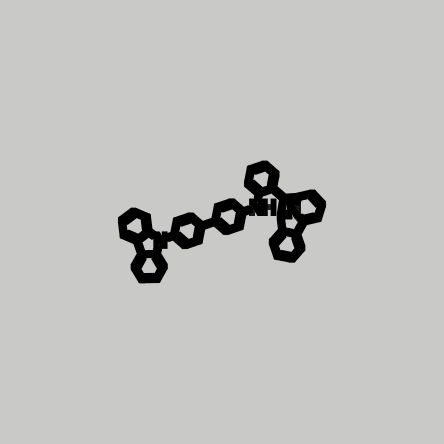 C1=CC2=C(c3ccccc3Nc3ccc(-c4ccc(-n5c6ccccc6c6ccccc65)cc4)cc3)C3c4ccccc4C(=C1)N23